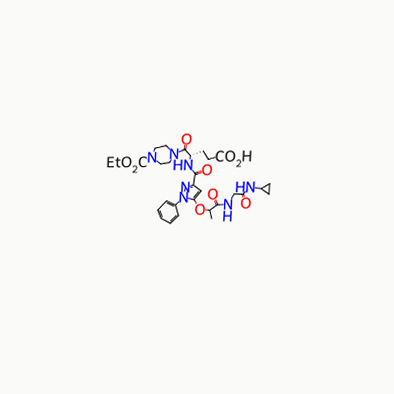 CCOC(=O)N1CCN(C(=O)[C@H](CCC(=O)O)NC(=O)c2cc(OC(C)C(=O)NCC(=O)NC3CC3)n(-c3ccccc3)n2)CC1